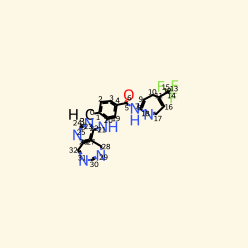 Cc1ccc(C(=O)NC2=CCC(C(F)(F)F)=CC=N2)cc1Nc1ncnc2c1CN=CN=C2